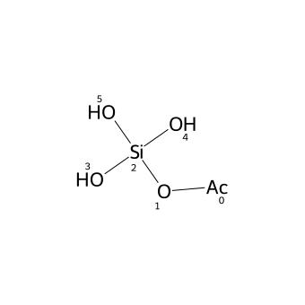 CC(=O)O[Si](O)(O)O